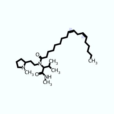 CCCCC/C=C\C/C=C\CCCCCCCC(=O)N(CCC1CCCN1C)C(C(=O)NC)C(C)C